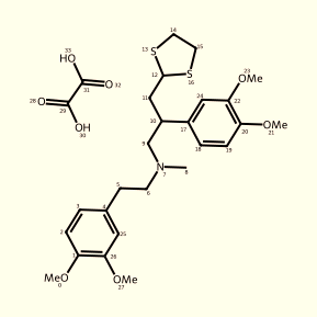 COc1ccc(CCN(C)CC(CC2SCCS2)c2ccc(OC)c(OC)c2)cc1OC.O=C(O)C(=O)O